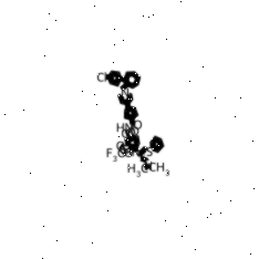 CN(C)CC[C@H](CSc1ccccc1)Nc1ccc(S(=O)(=O)NC(=O)c2ccc(C3=CCN(CC4=C(c5ccc(Cl)cc5)CCCCC4)CC3)cc2)cc1S(=O)(=O)C(F)(F)F